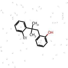 CCc1ccccc1C(C)(C)Cc1ccccc1O